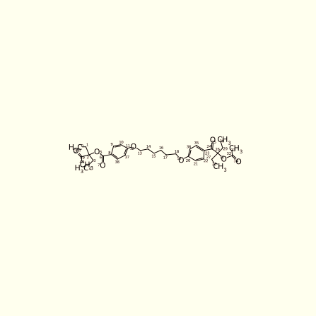 CCC(CC)(OC(=O)c1ccc(OCCCCCCOc2ccc(C(=O)C(CC)(CC)OC(C)=O)cc2)cc1)C(C)=O